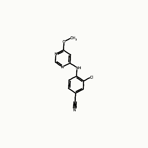 COc1cc(Nc2ccc(C#N)cc2Cl)ncn1